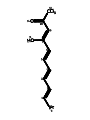 CC(C)/C=C/C=C/C=C/C(O)=C/C(=O)C(Cl)(Cl)Cl